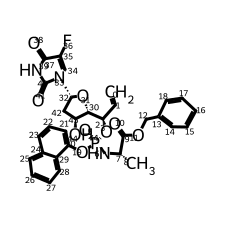 C=C[C@@H](O[P@](=O)(N[C@@H](C)C(=O)OCc1ccccc1)Oc1cccc2ccccc12)[C@H]1O[C@@H](n2cc(F)c(=O)[nH]c2=O)C[C@@H]1O